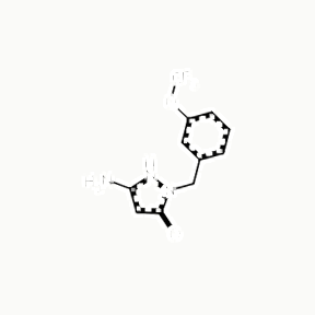 Nc1cc(=O)n(Cc2cccc(OC(F)(F)F)c2)[nH]1